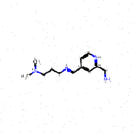 CN(C)CCCN=Cc1ccnc(CN)c1